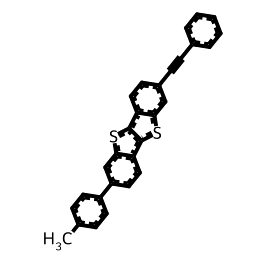 Cc1ccc(-c2ccc3c(c2)sc2c4ccc(C#Cc5ccccc5)cc4sc32)cc1